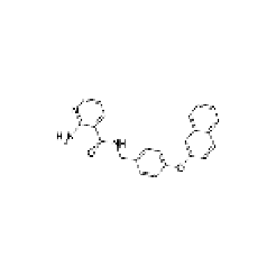 Nc1ncccc1C(=O)NCc1ccc(Oc2ccc3ccccc3c2)cc1